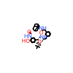 C[C@H](Cc1cccc(CC(=O)NC23CC4CC(CC(C4)C2)C3)c1)NC[C@H](O[Si](C)(C)C(C)(C)C)c1ccc(O)c(NC=O)c1